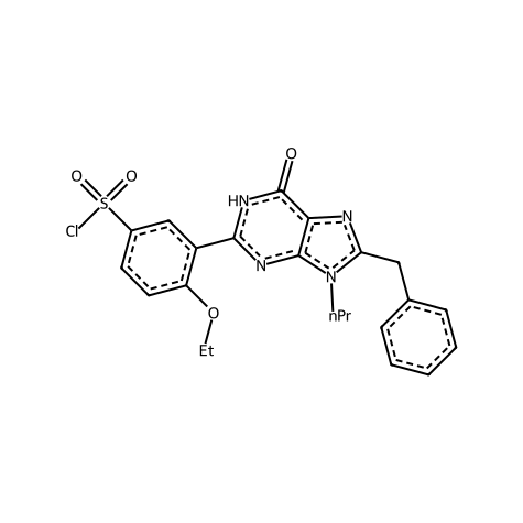 CCCn1c(Cc2ccccc2)nc2c(=O)[nH]c(-c3cc(S(=O)(=O)Cl)ccc3OCC)nc21